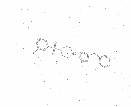 O=S(=O)(c1cccc(F)c1)N1CCN(c2nc(Cc3ccccc3)cs2)CC1